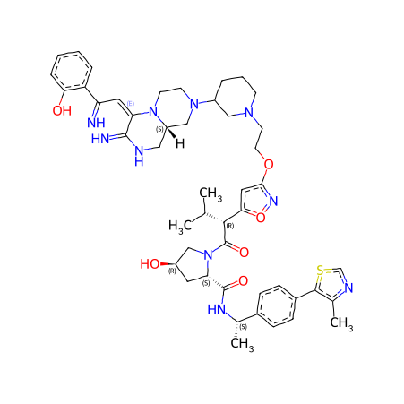 Cc1ncsc1-c1ccc([C@H](C)NC(=O)[C@@H]2C[C@@H](O)CN2C(=O)[C@@H](c2cc(OCCN3CCCC(N4CCN5/C(=C/C(=N)c6ccccc6O)C(=N)NC[C@H]5C4)C3)no2)C(C)C)cc1